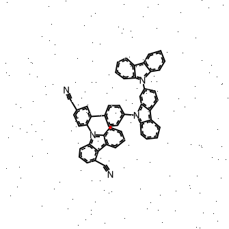 N#Cc1ccc(-n2c3ccccc3c3c(C#N)cccc32)c(-c2ccc(-n3c4ccccc4c4ccc(-n5c6ccccc6c6ccccc65)cc43)cc2)c1